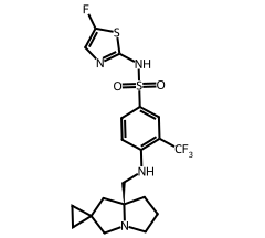 O=S(=O)(Nc1ncc(F)s1)c1ccc(NC[C@@]23CCCN2CC2(CC2)C3)c(C(F)(F)F)c1